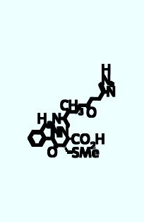 CSC[C@H](C(=O)c1nccc2ccccc12)[C@H](NCC(N)C(C)CCC(=O)CCc1c[nH]cn1)C(=O)O